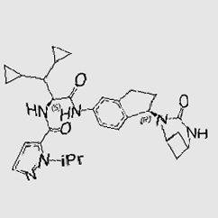 CC(C)n1nccc1C(=O)N[C@H](C(=O)Nc1ccc2c(c1)CC[C@H]2N1C(=O)NC2CC1C2)C(C1CC1)C1CC1